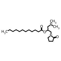 CCCCCCCCCCCC(=O)OC(CN(C)C)CN1CCCC1=O